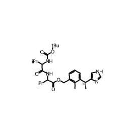 Cc1c(COC(=O)C(NC(=O)C(NC(=O)OC(C)(C)C)C(C)C)C(C)C)cccc1[C@H](C)c1c[nH]cn1